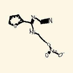 N#CN=C(NCCO[N+](=O)[O-])c1cccs1